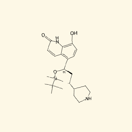 CC(C)(C)[Si](C)(C)O[C@H](C[CH]C1CCNCC1)c1ccc(O)c2[nH]c(=O)ccc12